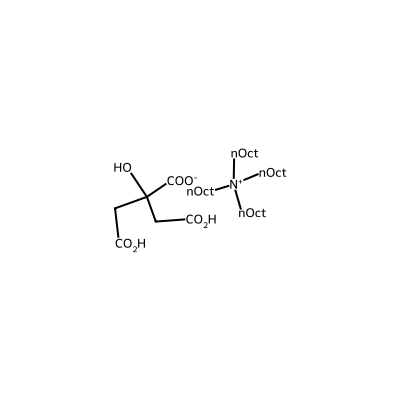 CCCCCCCC[N+](CCCCCCCC)(CCCCCCCC)CCCCCCCC.O=C(O)CC(O)(CC(=O)O)C(=O)[O-]